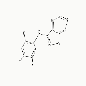 Fc1cc(F)c(Nc2n[nH]c3cccnc23)cc1Cl